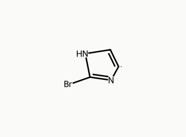 Brc1n[c]c[nH]1